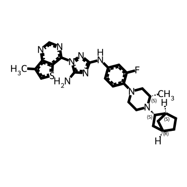 Cc1csc2c(-n3nc(Nc4ccc(N5CCN([C@H]6C[C@@H]7CC[C@H]6C7)[C@@H](C)C5)c(F)c4)nc3N)ncnc12